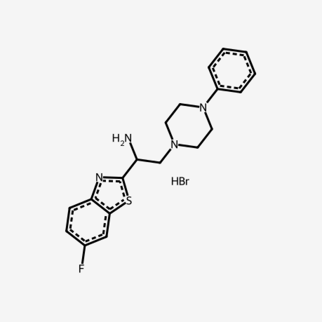 Br.NC(CN1CCN(c2ccccc2)CC1)c1nc2ccc(F)cc2s1